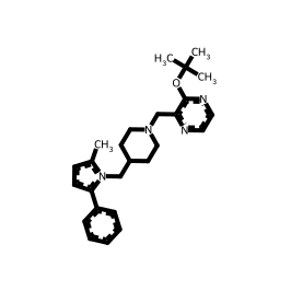 Cc1ccc(-c2ccccc2)n1CC1CCN(Cc2nccnc2OC(C)(C)C)CC1